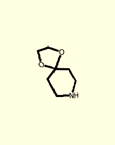 [CH]1COC2(CCNCC2)O1